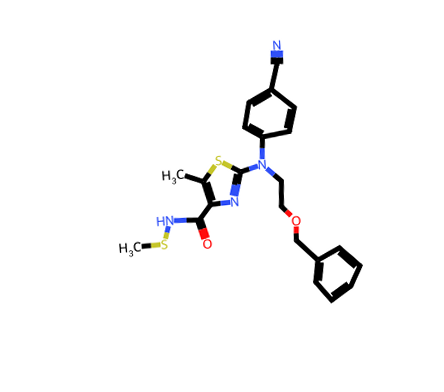 CSNC(=O)c1nc(N(CCOCc2ccccc2)c2ccc(C#N)cc2)sc1C